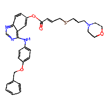 O=C(C=CCSCCCN1CCOCC1)Oc1ccc2ncnc(Nc3ccc(OCc4ccccc4)cc3)c2c1